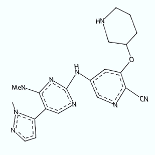 CNc1nc(Nc2cnc(C#N)c(OC3CCCNC3)c2)ncc1-c1ccnn1C